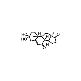 C[C@]12CCC(O)(O)CC1=CC(=O)[C@@H]1[C@H]2CC[C@]2(C)C(=O)CC[C@@H]12